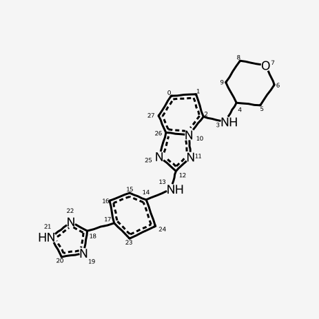 c1cc(NC2CCOCC2)n2nc(Nc3ccc(-c4nc[nH]n4)cc3)nc2c1